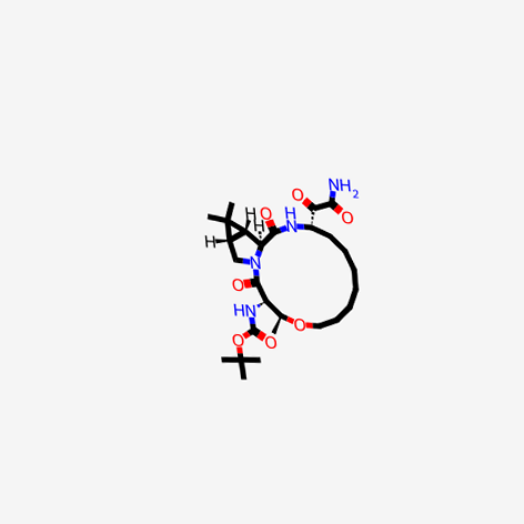 C[C@@H]1OCCCCCCC[C@@H](C(=O)C(N)=O)NC(=O)[C@@H]2[C@@H]3[C@H](CN2C(=O)[C@H]1NC(=O)OC(C)(C)C)C3(C)C